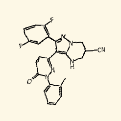 Cc1ccccc1-n1nc(-c2c(-c3cc(F)ccc3F)nn3c2NCC(C#N)C3)ccc1=O